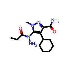 CCC(=O)N(N)c1c(C2CCCCC2)c(C(N)=O)nn1C